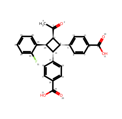 CC(=O)[C@H]1[C@H](c2ccc(C(=O)O)cc2)[C@H](c2ccc(C(=O)O)cc2)[C@H]1c1ccccc1F